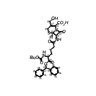 CC(C)COC(=O)NC(CCCC(=O)NC1C(=O)N2C(C(=O)O)=C(CO)CS[C@@H]12)C(=O)OC(c1ccccc1)c1ccccc1